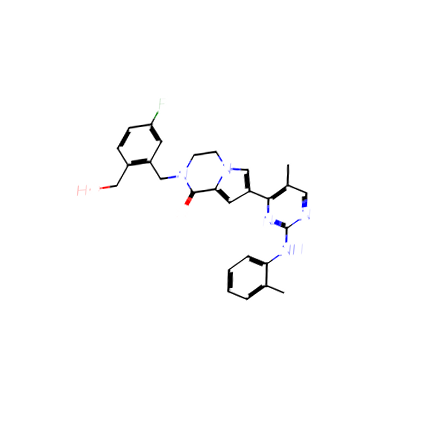 Cc1ccccc1Nc1ncc(C)c(-c2cc3n(c2)CCN(Cc2cc(F)ccc2CO)C3=O)n1